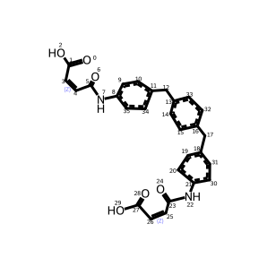 O=C(O)/C=C\C(=O)Nc1ccc(Cc2ccc(Cc3ccc(NC(=O)/C=C\C(=O)O)cc3)cc2)cc1